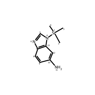 C[Si](C)(C)n1cnc2ccc(N)cc21